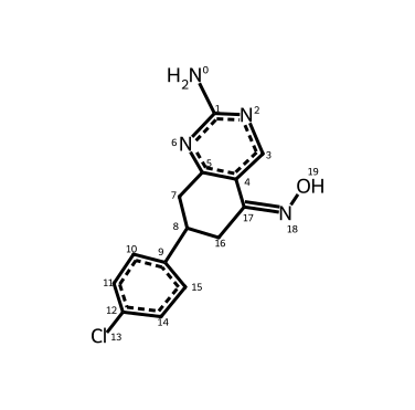 Nc1ncc2c(n1)CC(c1ccc(Cl)cc1)C/C2=N/O